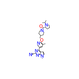 Cc1cc(-c2nc(C#N)nc3c2ccn3C)cnc1OCC1CCN(C(=O)[C@@H]2CCCN2C(C)C)CC1